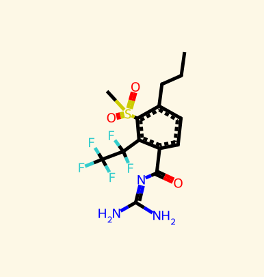 CCCc1ccc(C(=O)N=C(N)N)c(C(F)(F)C(F)(F)F)c1S(C)(=O)=O